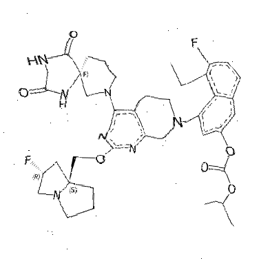 CCc1c(F)ccc2cc(OC(=O)OC(C)C)cc(N3CCc4c(nc(OC[C@@]56CCCN5C[C@H](F)C6)nc4N4CCC[C@]5(C4)NC(=O)NC5=O)C3)c12